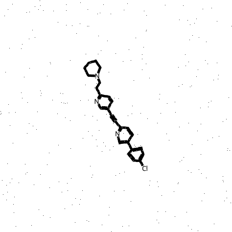 Clc1ccc(-c2ccc(C#Cc3ccc([CH]CN4CCCCC4)nc3)nc2)cc1